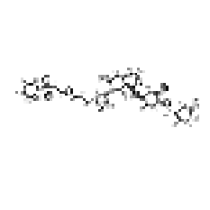 O=S(=O)(CCOCCCc1nc(-c2cc3c(Nc4ccc(OCc5cccc(F)c5)c(Br)c4)ncnc3cc2F)cs1)c1ccccn1